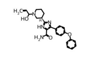 C=CC(O)N1CCC[C@@H](c2nc(-c3ccc(Oc4ccccc4)cc3)c(C(N)=O)[nH]2)C1